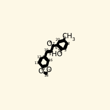 Cc1ccc(O)c(C(=O)C=Cc2ccc3c(c2)OCO3)c1